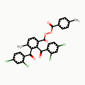 Cc1ccc(C(=O)OOC(=O)c2ccc(C)c(C(=O)c3ccc(Cl)cc3Cl)c2C(=O)c2ccc(Cl)cc2Cl)cc1